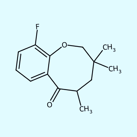 CC1CC(C)(C)COc2c(F)cccc2C1=O